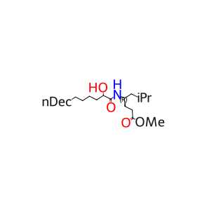 CCCCCCCCCCCCCCC(O)C(=O)N[C@H](CCC(=O)OC)CC(C)C